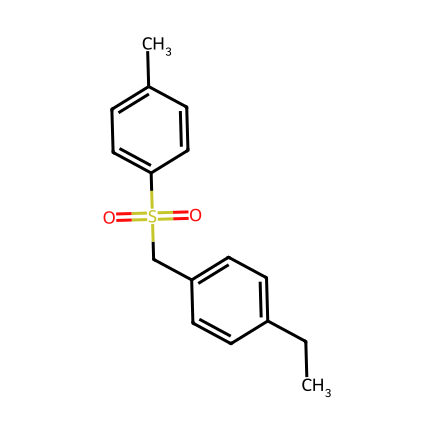 CCc1ccc(CS(=O)(=O)c2ccc(C)cc2)cc1